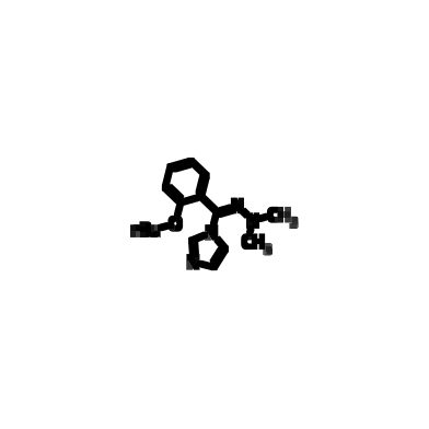 CCCCOc1ccccc1C(=NN(C)C)n1ccnc1